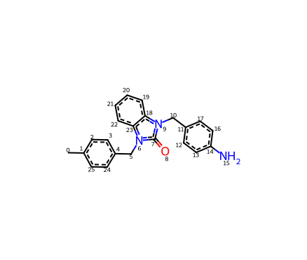 Cc1ccc(Cn2c(=O)n(Cc3ccc(N)cc3)c3ccccc32)cc1